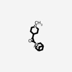 CC(=O)C1C2CC1CN(C1OC1C1CCN(C)CC1)C2